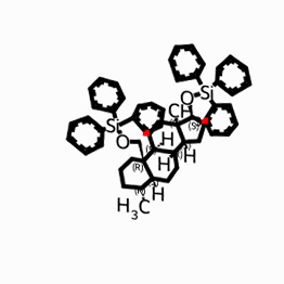 C[C@@H]1CCC[C@]2(CO[Si](c3ccccc3)(c3ccccc3)c3ccccc3)[C@H]3CC[C@]4(C)[C@@H](O[Si](c5ccccc5)(c5ccccc5)c5ccccc5)CC[C@H]4[C@@H]3CC[C@@H]12